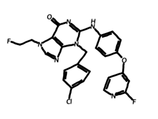 O=c1nc(Nc2ccc(Oc3ccnc(F)c3)cc2)n(Cc2ccc(Cl)cc2)c2ncn(CCF)c12